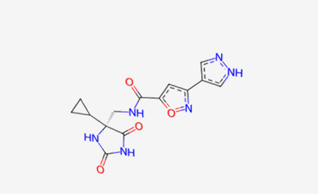 O=C1NC(=O)[C@](CNC(=O)c2cc(-c3cn[nH]c3)no2)(C2CC2)N1